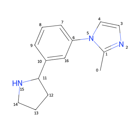 Cc1nccn1-c1cccc(C2CCCN2)c1